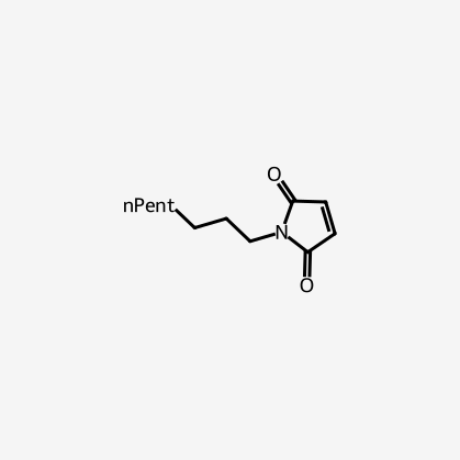 CCCCCCCCN1C(=O)C=CC1=O